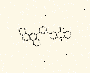 C=C1c2ccccc2Sc2ccc(-c3cccc(-c4cc5c6ccccc6ccc5c5ccccc45)c3)cc21